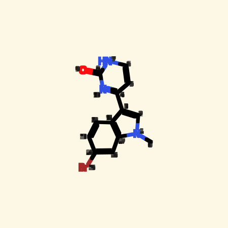 Cn1cc(-c2cc[nH]c(=O)n2)c2ccc(Br)cc21